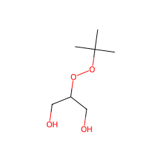 CC(C)(C)OOC(CO)CO